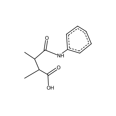 CC(C(=O)O)C(C)C(=O)Nc1ccccc1